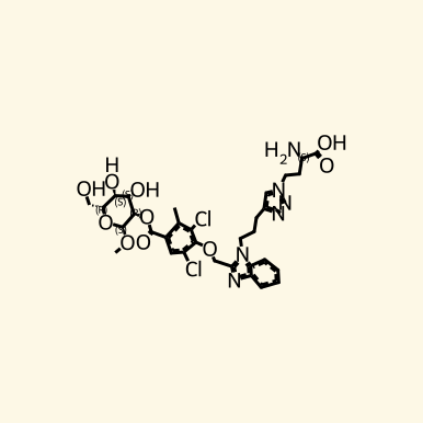 CO[C@H]1O[C@H](CO)[C@@H](O)[C@H](O)[C@H]1OC(=O)c1cc(Cl)c(OCc2nc3ccccc3n2CCCc2cn(CC[C@H](N)C(=O)O)nn2)c(Cl)c1C